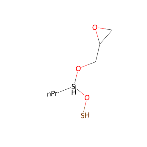 CCC[SiH](OS)OCC1CO1